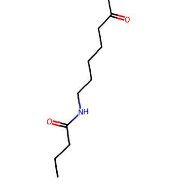 CCCC(=O)NCCCCCC(C)=O